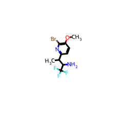 COc1ccc(C(C)C(N)C(F)(F)F)nc1Br